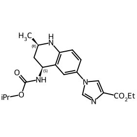 CCOC(=O)c1cn(-c2ccc3c(c2)[C@@H](NC(=O)OC(C)C)C[C@@H](C)N3)cn1